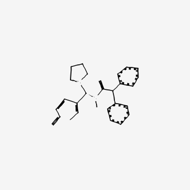 C=C/C=C\C(=C/C)[C@@H](N1CCCC1)N(C)C(=O)C(c1ccccc1)c1ccccc1